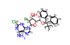 CC(C)(C)[Si](OC[C@H]1O[C@@H](n2cnc3c(N)nc(Cl)nc32)[C@@H](F)[C@@H]1O)(c1ccccc1)c1ccccc1